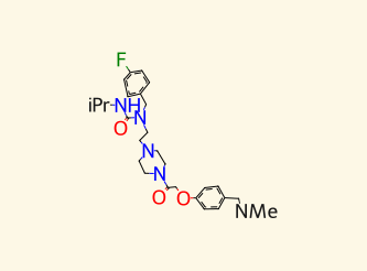 CNCc1ccc(OCC(=O)N2CCN(CCN(Cc3ccc(F)cc3)C(=O)NC(C)C)CC2)cc1